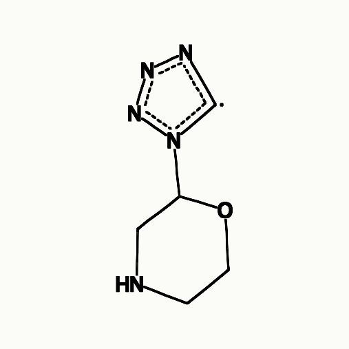 [c]1nnnn1C1CNCCO1